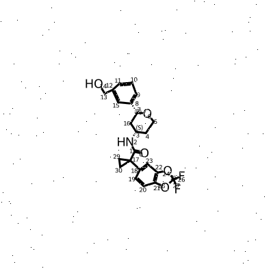 O=C(N[C@H]1CCO[C@@H](c2cccc(CO)c2)C1)C1(c2ccc3c(c2)OC(F)(F)O3)CC1